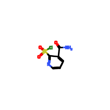 NC(=O)c1cccnc1S(=O)(=O)Cl